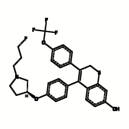 Oc1ccc2c(c1)SCC(c1ccc(OC(F)(F)F)cc1)=C2c1ccc(O[C@H]2CCN(CCCF)C2)cc1